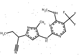 CCC(C#N)n1cc(Nc2ncc(C(F)(F)F)c(NC)n2)c(C)n1